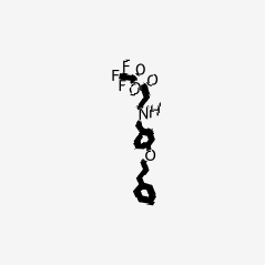 O=C(CCNCc1ccc(OCCCc2ccccc2)cc1)OC(=O)C(F)(F)F